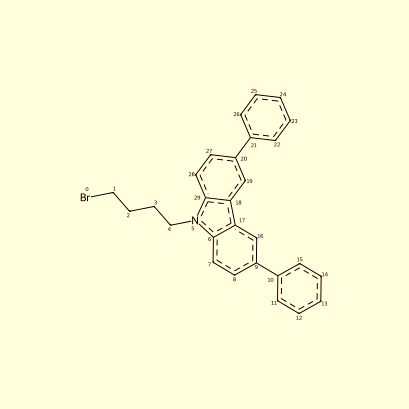 BrCCCCn1c2ccc(-c3ccccc3)cc2c2cc(-c3ccccc3)ccc21